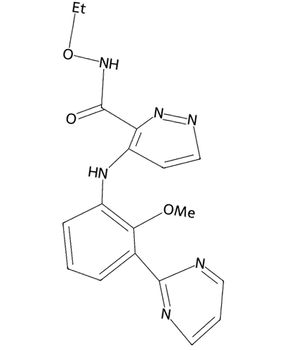 CCONC(=O)c1nnccc1Nc1cccc(-c2ncccn2)c1OC